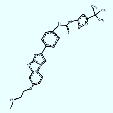 CC(C)(C)c1cc(NC(=O)Nc2ccc(-c3cn4c(n3)sc3cc(OCCNI)ccc34)cc2)no1